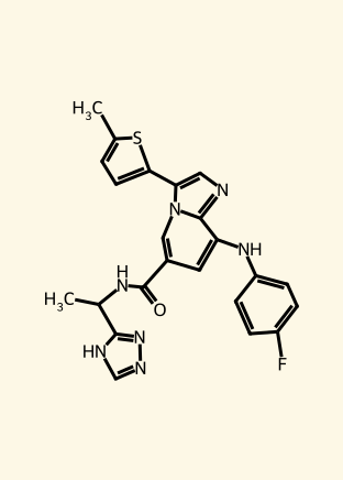 Cc1ccc(-c2cnc3c(Nc4ccc(F)cc4)cc(C(=O)NC(C)c4nnc[nH]4)cn23)s1